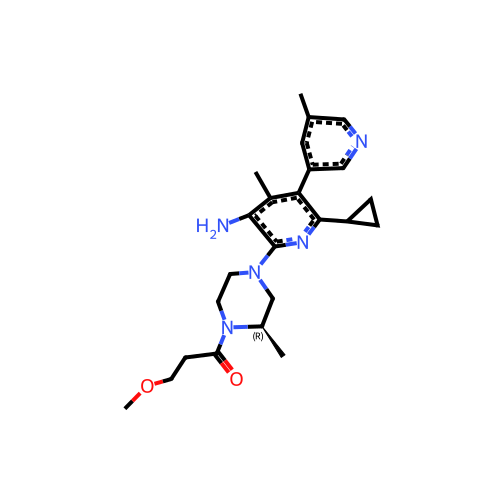 COCCC(=O)N1CCN(c2nc(C3CC3)c(-c3cncc(C)c3)c(C)c2N)C[C@H]1C